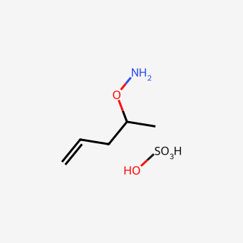 C=CCC(C)ON.O=S(=O)(O)O